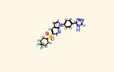 O=S(=O)(c1cnc2c(ccn2-c2ccc(-c3nnc[nH]3)cc2)c1)C1CCC(F)(F)CC1